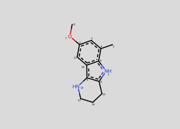 COc1cc(C)c2[nH]c3c(c2c1)NCCC3